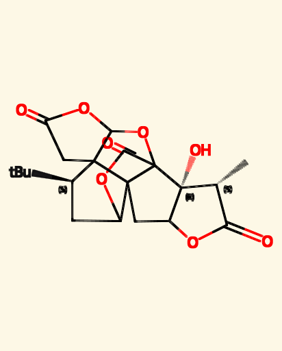 C[C@@H]1C(=O)OC2CC34C5C[C@@H](C(C)(C)C)C36CC(=O)OC6OC4(C(=O)O5)[C@]21O